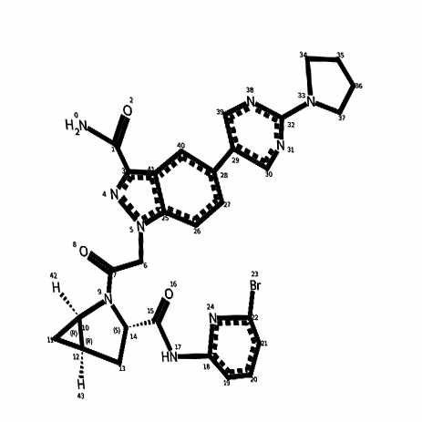 NC(=O)c1nn(CC(=O)N2[C@@H]3C[C@@H]3C[C@H]2C(=O)Nc2cccc(Br)n2)c2ccc(-c3cnc(N4CCCC4)nc3)cc12